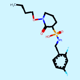 CCCCON1CCCC(P(=O)(O)NCc2ccc(F)cc2F)C1=O